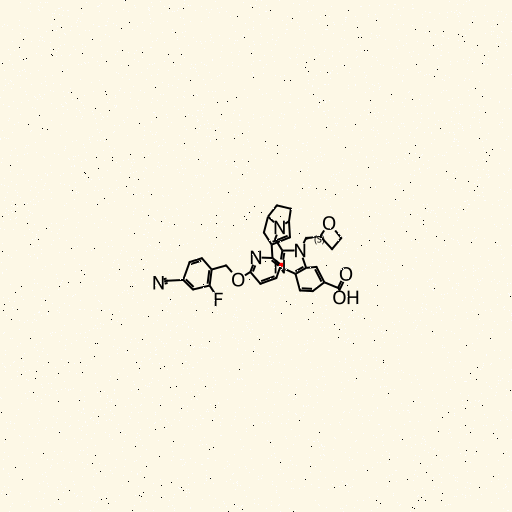 N#Cc1ccc(COc2cccc(C3=CC4CCC(C3)N4Cc3nc4ccc(C(=O)O)cc4n3C[C@@H]3CCO3)n2)c(F)c1